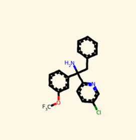 NC(Cc1ccccc1)(c1cccc(OC(F)(F)F)c1)c1ccc(Cl)cn1